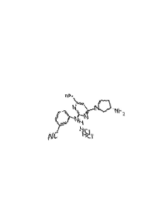 CCCc1cc(N2CC[C@H](N)C2)nc(Nc2cccc(C#N)c2)n1.Cl.Cl